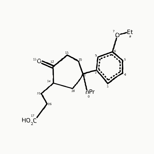 CCCC1(c2cccc(OCC)c2)CCC(=O)C(CCC(=O)O)C1